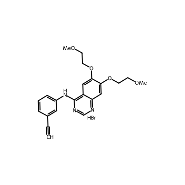 Br.C#Cc1cccc(Nc2ncnc3cc(OCCOC)c(OCCOC)cc23)c1